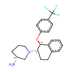 N[C@@H]1CCCN([C@H]2CCc3ccccc3[C@@H]2Oc2ccc(C(F)(F)F)cc2)C1